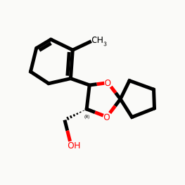 CC1=C(C2OC3(CCCC3)O[C@@H]2CO)CCC=C1